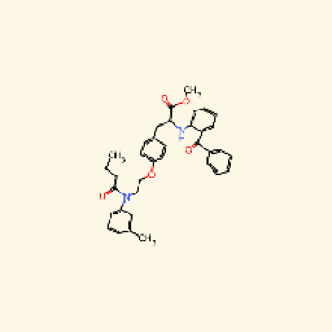 CCCC(=O)N(CCOc1ccc(C[C@H](Nc2ccccc2C(=O)c2ccccc2)C(=O)OC)cc1)c1cccc(C)c1